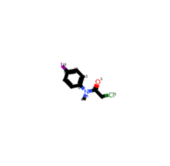 CN(C(=O)CCl)c1ccc(I)cc1